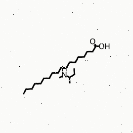 CCC(C)NC.CCCCCCCCCCCCCCCCCC(=O)O